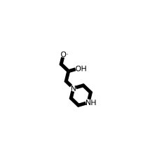 [O]CC(O)CN1CCNCC1